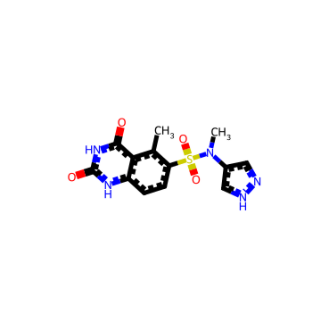 Cc1c(S(=O)(=O)N(C)c2cn[nH]c2)ccc2[nH]c(=O)[nH]c(=O)c12